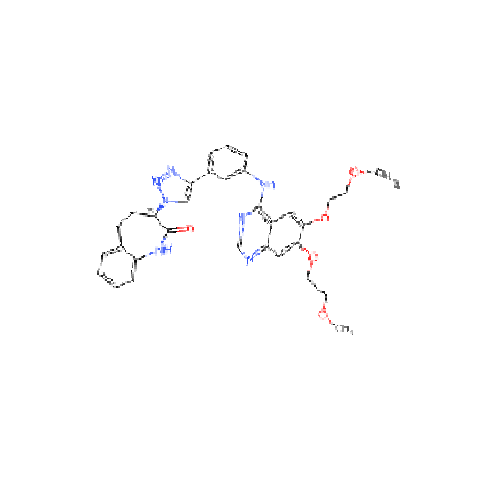 COCCOc1cc2ncnc(Nc3cccc(-c4cn([C@@H]5CCc6ccccc6NC5=O)nn4)c3)c2cc1OCCOC